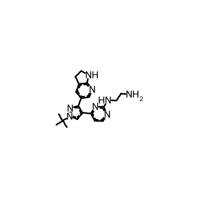 CC(C)(C)n1cc(-c2ccnc(NCCN)n2)c(-c2cnc3c(c2)CCN3)n1